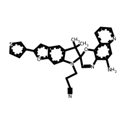 CC1(C)c2cc3cc(-c4ccsc4)oc3cc2N(CCC#N)C12C=Nc1c(N)cc3ncccc3c1O2